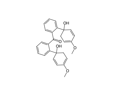 COC1=CCC(O)(c2ccccc2C(=O)c2ccccc2C2(O)C=CC(OC)=CC2)C=C1